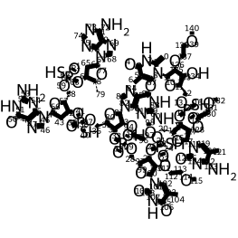 C=C1NC(=O)C(C)=CN1[C@@H]1O[C@H](COP(=O)(S)OC2[C@@H](COP(=O)(S)OC3[C@@H](COP(=O)(O)OC4[C@@H](COP(=O)(S)OC5C[C@H](n6cnc7c(=O)[nH]c(N)nc76)O[C@@H]5COP(=O)(S)OC5C[C@H](n6cnc7c(N)ncnc76)O[C@@H]5C)O[C@@H](n5cnc6c(=O)[nH]c(N)nc65)[C@H]4OCCOC)O[C@@H](n4cc(C)c(=O)[nH]c4=O)[C@H]3OCCOC)O[C@@H](n3cc(C)c(N)nc3=O)[C@H]2OCCOC)C(O)[C@@H]1OCCOC